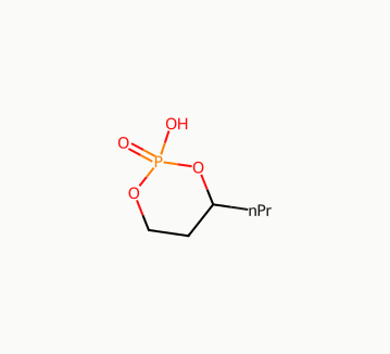 CCCC1CCOP(=O)(O)O1